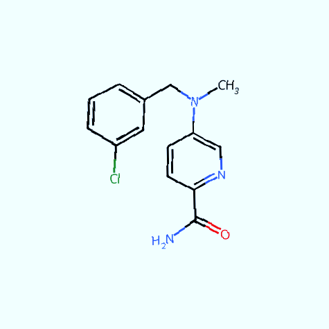 CN(Cc1cccc(Cl)c1)c1ccc(C(N)=O)nc1